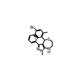 Cc1cc(Br)ccc1C1SCCNc2c1c(-c1ccccn1)nn2C